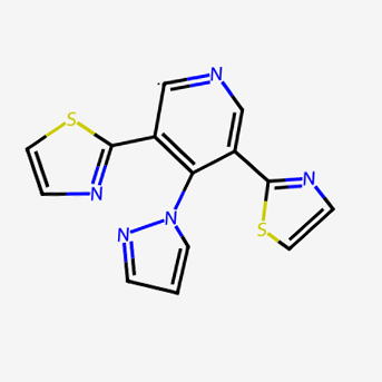 [c]1ncc(-c2nccs2)c(-n2cccn2)c1-c1nccs1